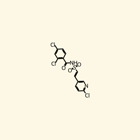 O=C(NS(=O)(=O)C=Cc1ccc(Cl)nc1)c1ccc(Cl)cc1Cl